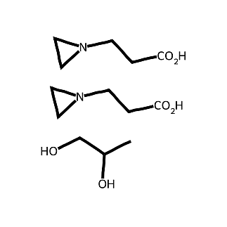 CC(O)CO.O=C(O)CCN1CC1.O=C(O)CCN1CC1